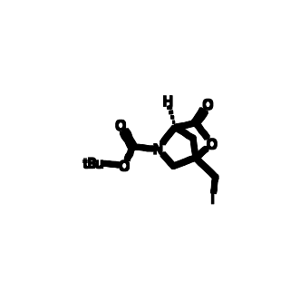 CC(C)(C)OC(=O)N1CC2(CI)C[C@@H]1C(=O)O2